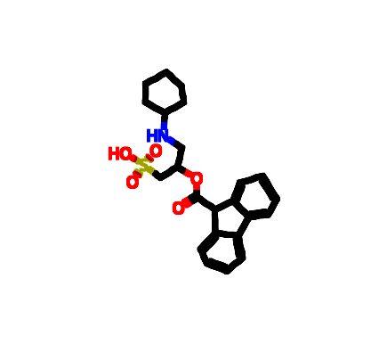 O=C(OC(CNC1CCCCC1)CS(=O)(=O)O)C1c2ccccc2-c2ccccc21